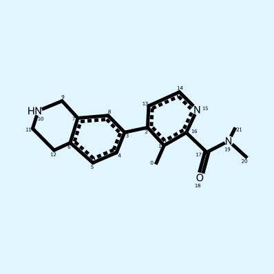 Cc1c(-c2ccc3c(c2)CNCC3)ccnc1C(=O)N(C)C